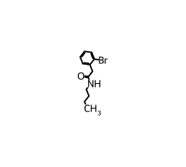 CCCCNC(=O)Cc1ccccc1Br